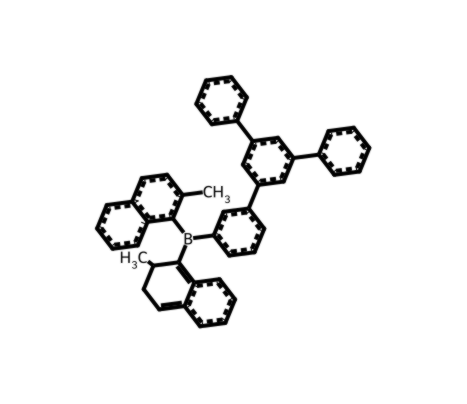 Cc1ccc2ccccc2c1B(C1=c2ccccc2=CCC1C)c1cccc(-c2cc(-c3ccccc3)cc(-c3ccccc3)c2)c1